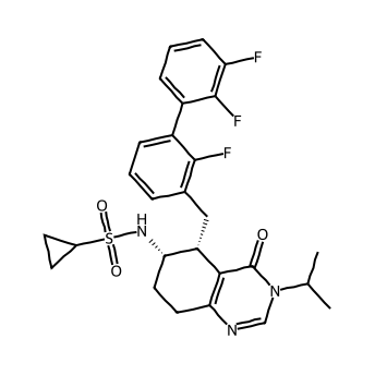 CC(C)n1cnc2c(c1=O)[C@@H](Cc1cccc(-c3cccc(F)c3F)c1F)[C@@H](NS(=O)(=O)C1CC1)CC2